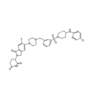 O=C1CCC(N2Cc3cc(N4CCN(Cc5cccc(S(=O)(=O)N6CCC(Nc7ncc(Cl)cn7)CC6)c5)CC4)c(F)cc3C2=O)C(=O)N1